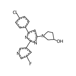 OC1CCN(c2cc(-c3ccc(Cl)cc3)nc(-c3cncc(F)c3)n2)C1